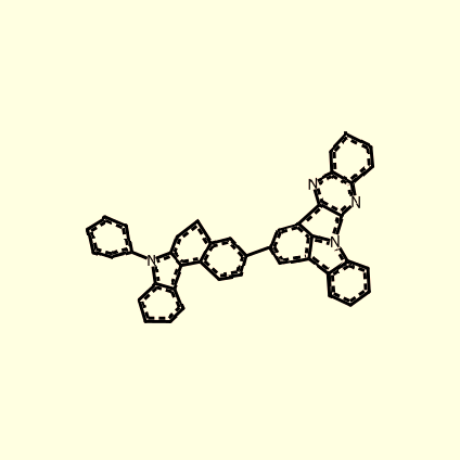 c1ccc(-n2c3ccccc3c3c4ccc(-c5cc6c7ccccc7n7c8nc9ccccc9nc8c(c5)c67)cc4ccc32)cc1